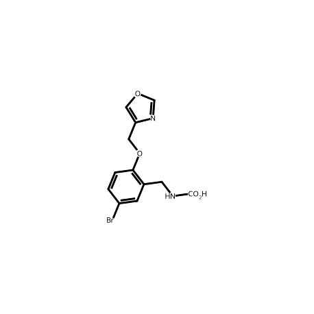 O=C(O)NCc1cc(Br)ccc1OCc1cocn1